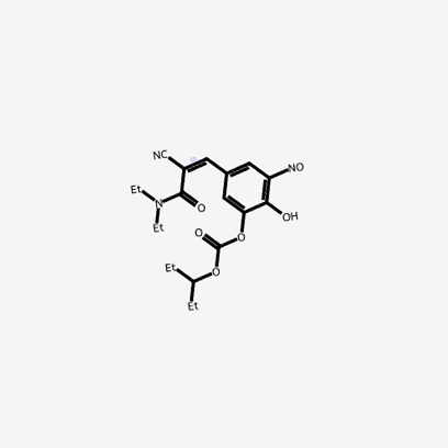 CCC(CC)OC(=O)Oc1cc(/C=C(/C#N)C(=O)N(CC)CC)cc(N=O)c1O